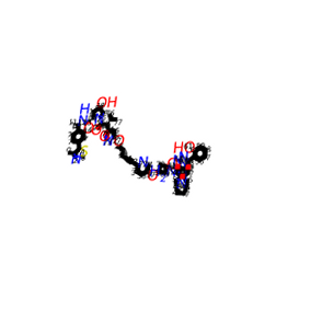 Cc1ncsc1-c1ccc([C@H](C)NC(=O)[C@@H]2C[C@@H](O)CN2C(=O)[C@H](c2cc(OCCCC#Cc3ccc(O[C@H]4C[C@H](Oc5cc(N6C7CCC6CN(c6cc(-c8ccccc8O)nnc6N)C7)ccn5)C4)cn3)no2)C(C)C)cc1